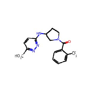 O=C(O)c1ccc(NC2CCN(C(=O)c3ccccc3C(F)(F)F)C2)nn1